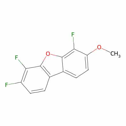 COc1ccc2c(oc3c(F)c(F)ccc32)c1F